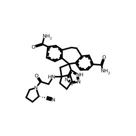 N#C[C@@H]1CCCN1C(=O)CNC1(CC2(c3nnn[nH]3)c3ccc(C(N)=O)cc3CCc3cc(C(N)=O)ccc32)CCCC1